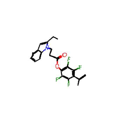 C=C(C)c1c(F)c(F)c(OC(=O)CCn2c(CC)cc3ccccc32)c(F)c1F